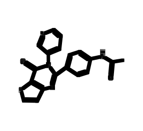 CC(=O)Nc1ccc(-c2nc3ccsc3c(=O)n2-c2cccnc2)cc1